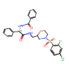 O=C(N[C@H](C(=O)NCC1CN(S(=O)(=O)c2ccc(Cl)cc2Cl)CCO1)c1ccccc1)c1ccccc1